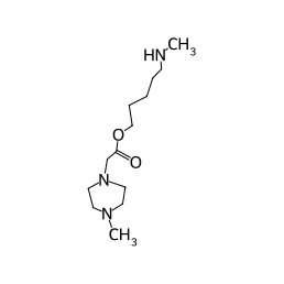 CNCCCCCOC(=O)CN1CCN(C)CC1